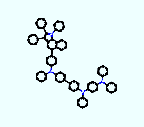 c1ccc(-c2c(-c3ccccc3)n(-c3ccccc3)c3c2cc(-c2ccc(N(c4ccccc4)c4ccc(-c5ccc(N(c6ccccc6)c6ccc(N(c7ccccc7)c7ccccc7)cc6)cc5)cc4)cc2)c2ccccc23)cc1